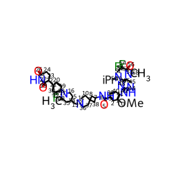 COc1cc(C(=O)NC2CC3(CCN(CC4CCN(c5ccc(C6CCC(=O)NC6=O)cc5F)C(C)C4)CC3)C2)ccc1Nc1ncc2c(n1)N(C(C)C)CC(F)(F)C(=O)N2C